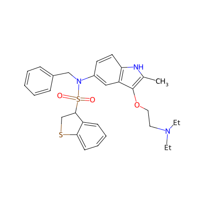 CCN(CC)CCOc1c(C)[nH]c2ccc(N(Cc3ccccc3)S(=O)(=O)C3CSc4ccccc43)cc12